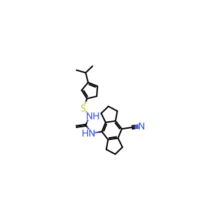 C=C(NSC1=CC(C(C)C)=CC1)Nc1c2c(c(C#N)c3c1CCC3)CCC2